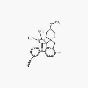 CO[C@H]1CC[C@]2(CC1)Cc1c(F)ccc(-c3cccc(C#N)c3)c1C21N=C(N)N(C)CC1=O